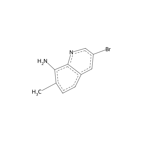 Cc1ccc2cc(Br)cnc2c1N